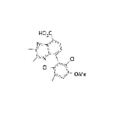 COc1cc(C)c(Cl)c(-c2ccc(C(=O)O)c3nc(C)c(C)nc23)c1Cl